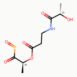 C[C@H](O)C(=O)NCCC(=O)O[C@@H](C)C(=O)P=O